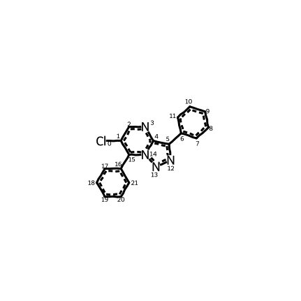 Clc1cnc2c(-c3ccccc3)nnn2c1-c1ccccc1